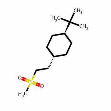 CC(C)(C)[C@H]1CC[C@H](CCS(C)(=O)=O)CC1